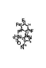 CC(=O)Nc1c(C#N)cnn1-c1c(F)cc(F)c(F)c1F